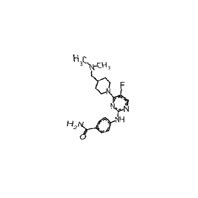 CN(C)CC1CCN(c2nc(Nc3ccc(C(N)=O)cc3)ncc2F)CC1